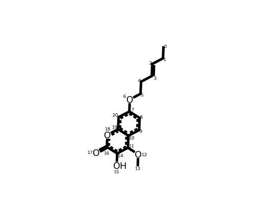 CCC=CCCOc1ccc2c(OC)c(O)c(=O)oc2c1